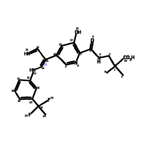 CC(C)(CNC(=O)c1ncc(/C(C=N)=C/Nc2cccc(C(C)(F)F)c2)cc1O)C(=O)O